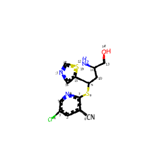 N#Cc1cc(Cl)cnc1SC(CC(N)CO)c1cncs1